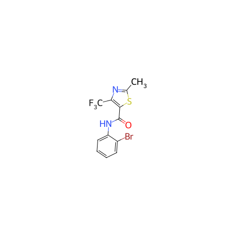 Cc1nc(C(F)(F)F)c(C(=O)Nc2ccccc2Br)s1